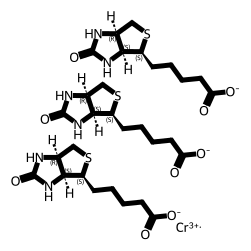 O=C([O-])CCCC[C@@H]1SC[C@@H]2NC(=O)N[C@@H]21.O=C([O-])CCCC[C@@H]1SC[C@@H]2NC(=O)N[C@@H]21.O=C([O-])CCCC[C@@H]1SC[C@@H]2NC(=O)N[C@@H]21.[Cr+3]